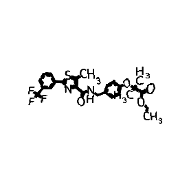 CCOC(=O)C(C)(C)Oc1ccc(CNC(=O)c2nc(-c3cccc(C(F)(F)F)c3)sc2C)cc1